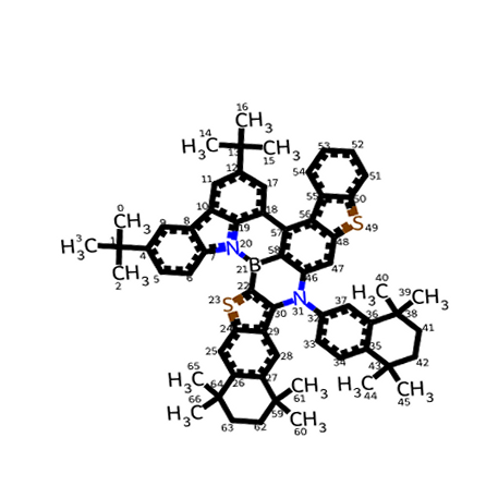 CC(C)(C)c1ccc2c(c1)c1cc(C(C)(C)C)cc3c1n2B1c2sc4cc5c(cc4c2N(c2ccc4c(c2)C(C)(C)CCC4(C)C)c2cc4sc6ccccc6c4c-3c21)C(C)(C)CCC5(C)C